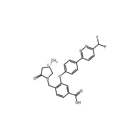 C[C@H]1CC(=O)N(Cc2ccc(C(=O)O)cc2Oc2ccc(-c3ccc(C(F)F)nn3)cc2)C1